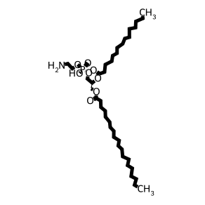 CCCCCCCCCCCCCCCCCCCC(=O)OC[C@H](COP(=O)(O)OCCN)OC(=O)CCCCCCCCCCCCCC